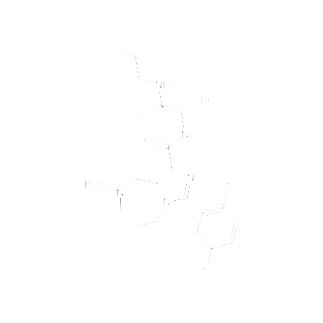 CN1CCCn2c(-c3cc(C(F)(F)F)ccc3F)nc(C(=O)N[C@H](C(=O)NCCF)C(C)(C)C)c2C1